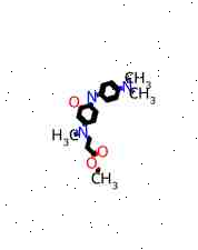 CCOC(=O)CCN(C)C1=CC(=O)C(=Nc2ccc(N(C)C)cc2)C=C1